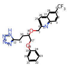 FC(F)(F)c1ccc2nc(COC(CCc3nnn[nH]3)COc3ccccc3)ccc2c1